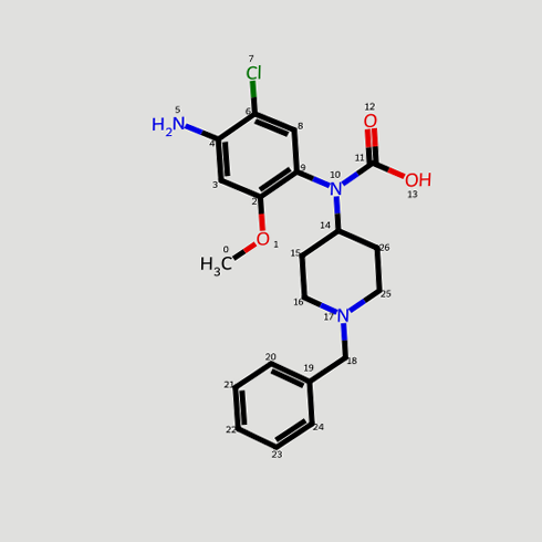 COc1cc(N)c(Cl)cc1N(C(=O)O)C1CCN(Cc2ccccc2)CC1